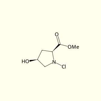 COC(=O)[C@@H]1C[C@H](O)CN1Cl